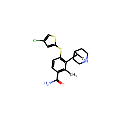 Cc1c(C(N)=O)ccc(Sc2cc(Cl)cs2)c1C1CN2CCC1CC2